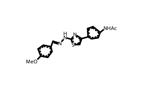 COc1ccc(/C=N/Nc2nc(-c3ccc(NC(C)=O)cc3)cs2)cc1